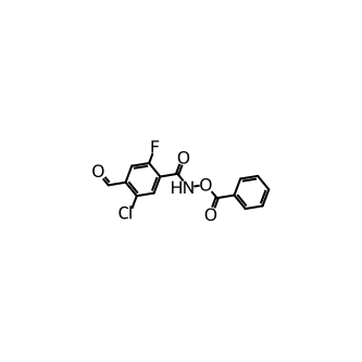 O=Cc1cc(F)c(C(=O)NOC(=O)c2ccccc2)cc1Cl